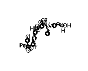 Cc1c(S(C)(=O)=O)c(-c2cc(F)cc(N3CCN(c4ccc(NS(=O)(=O)c5ccc(N[C@H](CCN6CCC(OCOPO)CC6)CSc6ccccc6)c(S(=O)(=O)C(F)(F)F)c5)cc4)CC3)c2)c(-c2ccc(Cl)cc2)n1C(C)C